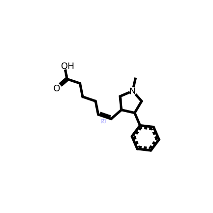 CN1CC(/C=C\CCCC(=O)O)C(c2ccccc2)C1